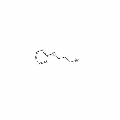 BrCCCOc1[c]cccc1